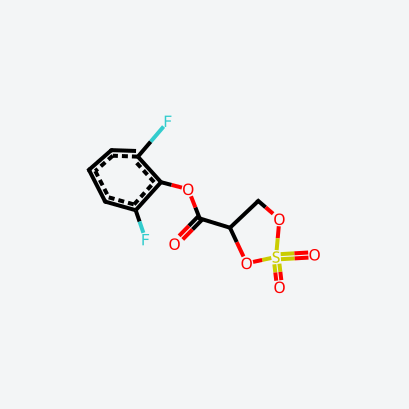 O=C(Oc1c(F)cccc1F)C1COS(=O)(=O)O1